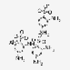 Nc1ccc(S(=O)(=O)[O-])c(N)c1.Nc1ccc(S(=O)(=O)[O-])c(N)c1.Nc1ccc(S(=O)(=O)[O-])c(N)c1.[Al+3]